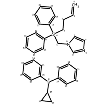 C=CCC[Si](Cn1ccnc1)(c1ccccc1)c1ccccc1.c1ccc(B(c2ccccc2)C2CC2)cc1